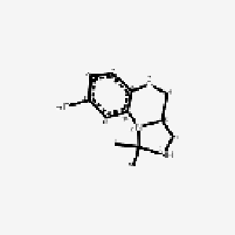 CC1(C)NCC2COc3ccc(F)cc3N21